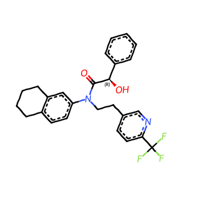 O=C([C@H](O)c1ccccc1)N(CCc1ccc(C(F)(F)F)nc1)c1ccc2c(c1)CCCC2